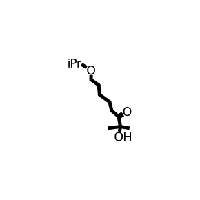 CC(C)OCCCCCC(=O)C(C)(C)O